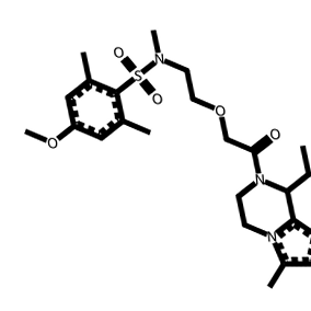 CCC1c2ccc(C)n2CCN1C(=O)COCCN(C)S(=O)(=O)c1c(C)cc(OC)cc1C